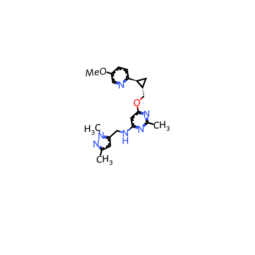 COc1ccc([C@H]2C[C@@H]2COc2cc(NCc3cc(C)nn3C)nc(C)n2)nc1